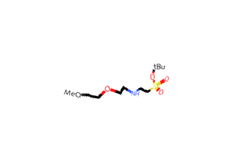 COCCOCCNCCS(=O)(=O)OC(C)(C)C